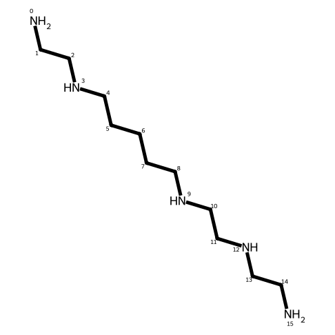 NCCNCCCCCNCCNCCN